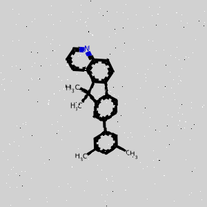 Cc1cc(C)cc(-c2ccc3c(c2)C(C)(C)c2c-3ccc3ncccc23)c1